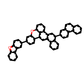 c1ccc2c(c1)ccc1cc(-c3cc4c5cccc6c5c(cc4c4ccccc34)-c3ccc(-c4ccc5oc7ccccc7c5c4)cc3O6)ccc12